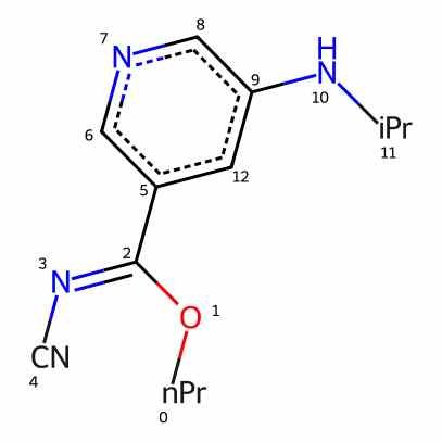 CCCOC(=NC#N)c1cncc(NC(C)C)c1